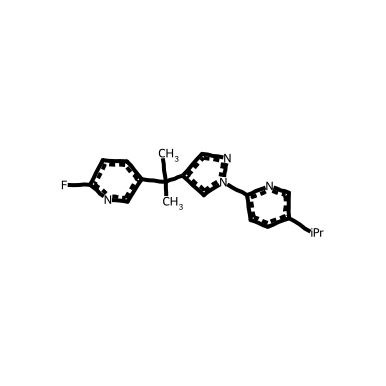 CC(C)c1ccc(-n2cc(C(C)(C)c3ccc(F)nc3)cn2)nc1